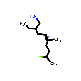 CCC(CN)C/C=C(/C)CCC(C)F